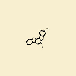 COc1ccc2c(c1)N=c1c(OC)cc3c(c1-2)N=c1ccccc1=3